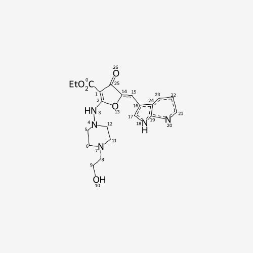 CCOC(=O)C1=C(NN2CCN(CCO)CC2)OC(=Cc2c[nH]c3ncccc23)C1=O